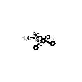 CCc1c(OCc2ccccc2)cc(OCc2ccccc2)c(Br)c1Cc1nn(CCOC)c(=O)o1